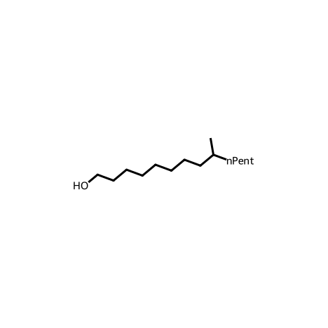 CCCCCC(C)CCCCCCCCO